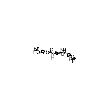 O=C(NC12CC(c3nnc([C@H]4C[C@@H](OC(F)(F)F)C4)o3)(C1)C2)OC[C@H]1C[C@@H](OC(F)(F)F)C1